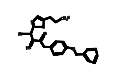 CC(C)C(C(=N)C(=O)Cc1ccc(OCc2ccccc2)cc1)c1ncc(CCC(=O)O)s1